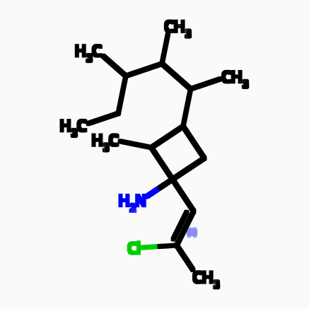 CCC(C)C(C)C(C)C1CC(N)(/C=C(/C)Cl)C1C